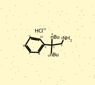 CCCCC(CN)(CCCC)c1ccccc1.Cl